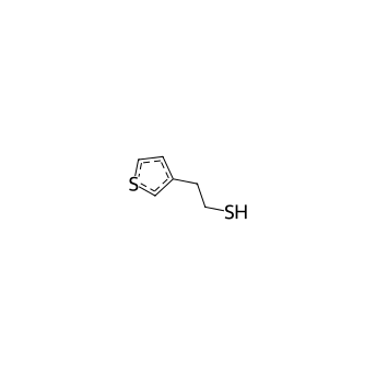 SCCc1ccsc1